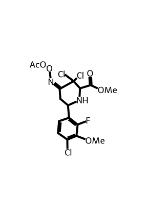 COC(=O)C1NC(c2ccc(Cl)c(OC)c2F)CC(=NOOC(C)=O)C1(Cl)Cl